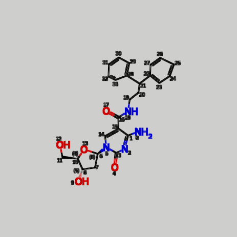 Nc1nc(=O)n([C@H]2C[C@H](O)[C@@H](CO)O2)cc1C(=O)NCCC(c1ccccc1)c1ccccc1